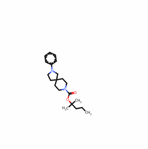 CCCC(C)(C)OC(=O)N1CCC2(CC1)CCN(c1ccccc1)C2